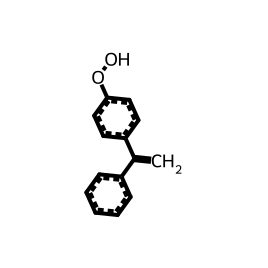 C=C(c1ccccc1)c1ccc(OO)cc1